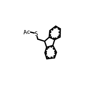 CC(=O)SCC1c2ccccc2-c2ccccc21